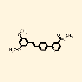 COC(=O)c1ccnc(-c2ccc(C=Cc3cc(OC)cc(OC)c3)cc2)c1